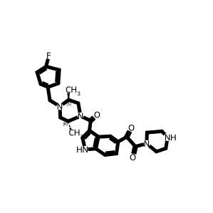 C[C@@H]1CN(Cc2ccc(F)cc2)[C@@H](C)CN1C(=O)c1c[nH]c2ccc(C(=O)C(=O)N3CCNCC3)cc12